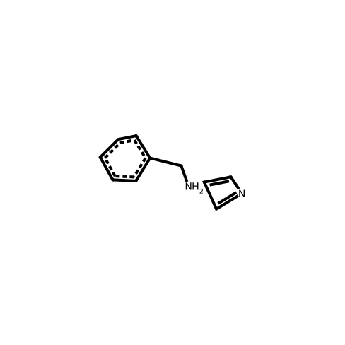 C1=CN=C1.NCc1ccccc1